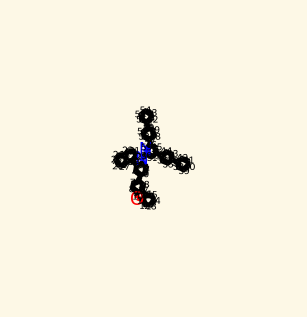 C1=CC2C(C=C1c1ccc3oc4ccccc4c3c1)c1c(ccc3ccccc13)N2c1cc(-c2ccc(-c3ccccc3)cc2)cc(-c2ccc(-c3ccccc3)cc2)n1